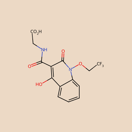 O=C(O)CNC(=O)c1c(O)c2ccccc2n(OCC(F)(F)F)c1=O